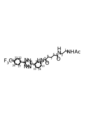 CC(=O)NCCNC(=O)CCCC(=O)Nc1cccc(-c2nnc(-c3ccc(C(F)(F)F)cc3)nn2)c1